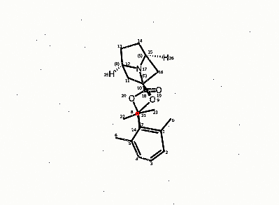 Cc1cccc(C)c1CO[C@H]1C[C@H]2CC[C@@H](C1)N2C(=O)OC(C)(C)C